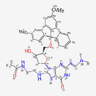 COc1ccc(C(OC[C@H]2O[C@@H](n3c(NCCNC(=O)C(F)(F)F)nc4c(=O)[nH]c(/N=C/N(C)C)nc43)CC2O)(c2ccccc2)c2ccc(OC)cc2)cc1